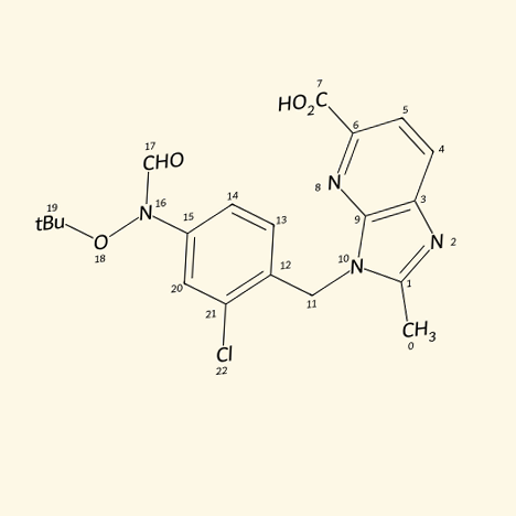 Cc1nc2ccc(C(=O)O)nc2n1Cc1ccc(N(C=O)OC(C)(C)C)cc1Cl